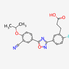 CC(C)Oc1ccc(-c2nc(-c3ccc(F)c(CCC(=O)O)c3)no2)cc1C#N